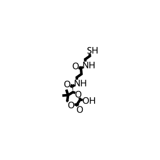 CC1(C)COC(=O)C(O)O[C@H]1C(=O)NCCC(=O)NCCS